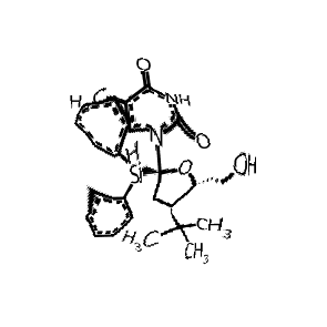 Cc1cn([C@@]2([SiH](c3ccccc3)c3ccccc3)C[C@H](C(C)(C)C)[C@@H](CO)O2)c(=O)[nH]c1=O